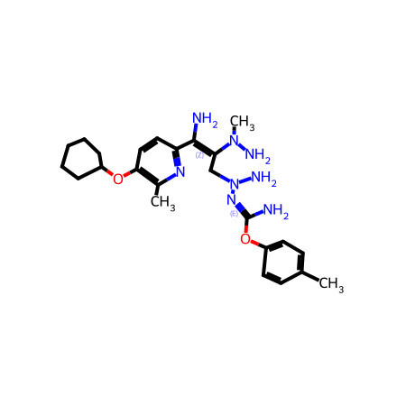 Cc1ccc(O/C(N)=N/N(N)C/C(=C(/N)c2ccc(OC3CCCCC3)c(C)n2)N(C)N)cc1